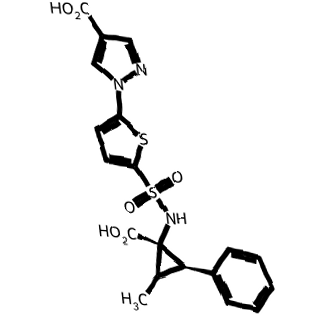 CC1[C@H](c2ccccc2)[C@]1(NS(=O)(=O)c1ccc(-n2cc(C(=O)O)cn2)s1)C(=O)O